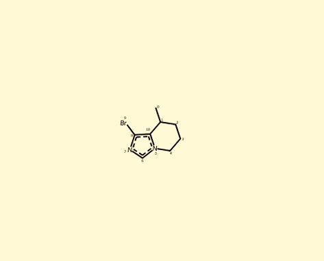 CC1CCCn2cnc(Br)c21